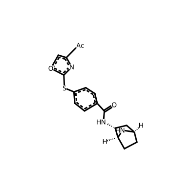 CC(=O)c1coc(Sc2ccc(C(=O)N[C@@H]3C[C@H]4CC[C@@H]3N4)cc2)n1